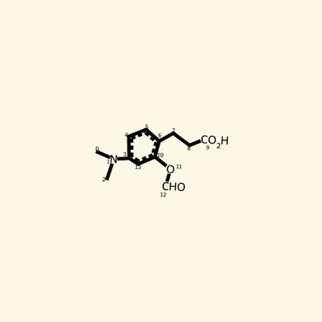 CN(C)c1ccc(CCC(=O)O)c(OC=O)c1